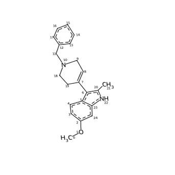 COc1ccc2c(C3=CCN(Cc4ccccc4)CC3)c(C)[nH]c2c1